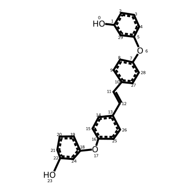 Oc1cccc(Oc2ccc(/C=C/c3ccc(Oc4cccc(O)c4)cc3)cc2)c1